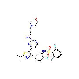 CC(C)c1nc(-c2ccc(F)c(NS(=O)(=O)c3c(F)cccc3F)c2)c(-c2ccnc(NCCN3CCOCC3)n2)s1